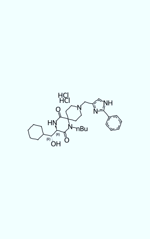 CCCCN1C(=O)[C@@H]([C@H](O)C2CCCCC2)NC(=O)C12CCN(Cc1c[nH]c(-c3ccccc3)n1)CC2.Cl.Cl